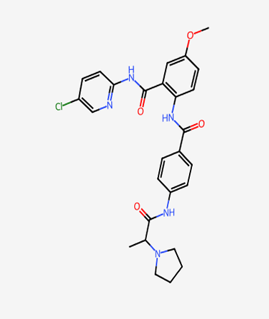 COc1ccc(NC(=O)c2ccc(NC(=O)C(C)N3CCCC3)cc2)c(C(=O)Nc2ccc(Cl)cn2)c1